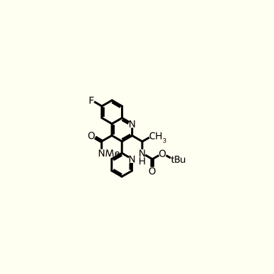 CNC(=O)c1c(-c2ccccn2)c(C(C)NC(=O)OC(C)(C)C)nc2ccc(F)cc12